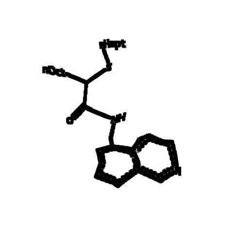 CCCCCCCCC(SCCCCCCC)C(=O)Nc1cccc2cnccc12